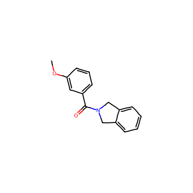 COc1cccc(C(=O)N2Cc3ccccc3C2)c1